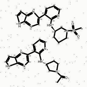 CC(=O)N1CC[C@@H](Nc2ncccc2-c2cnc3[nH]ccc3n2)C1.CS(=O)(=O)N1CCC[C@@H](Nc2ncccc2-c2cnc3[nH]ccc3n2)C1